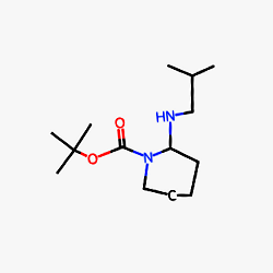 CC(C)CNC1CCCCN1C(=O)OC(C)(C)C